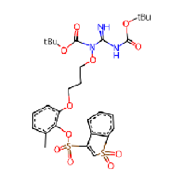 Cc1cccc(OCCCON(C(=N)NC(=O)OC(C)(C)C)C(=O)OC(C)(C)C)c1OS(=O)(=O)C1=CS(=O)(=O)c2ccccc21